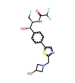 O=C(N[C@H](CF)[C@H](O)c1ccc(-c2cnc(CN3CC(O)C3)s2)cc1)C(F)F